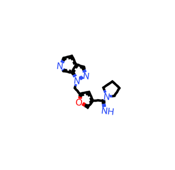 N=C(c1coc(Cn2ncc3ccncc32)c1)N1CCCC1